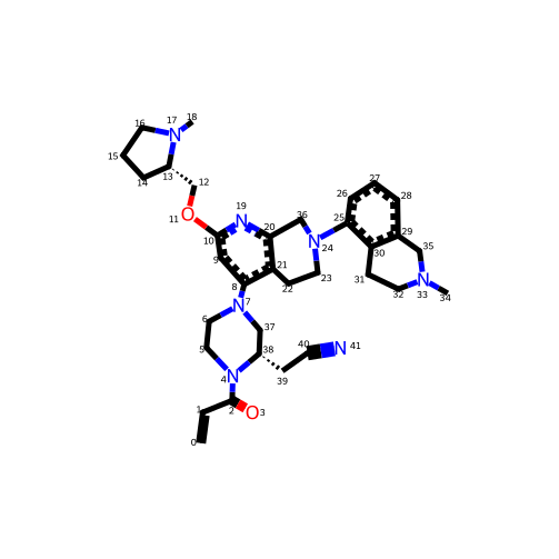 C=CC(=O)N1CCN(c2cc(OC[C@@H]3CCCN3C)nc3c2CCN(c2cccc4c2CCN(C)C4)C3)C[C@@H]1CC#N